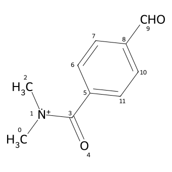 C[N+](C)C(=O)c1ccc(C=O)cc1